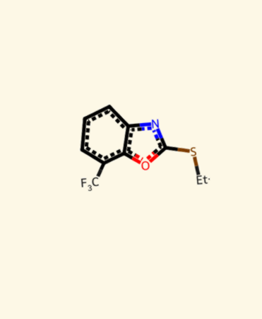 C[CH]Sc1nc2cccc(C(F)(F)F)c2o1